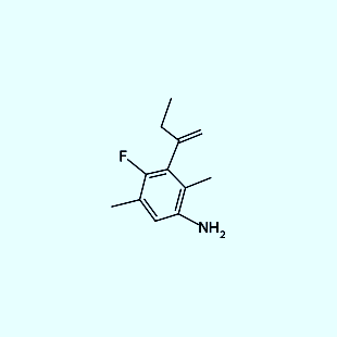 C=C(CC)c1c(C)c(N)cc(C)c1F